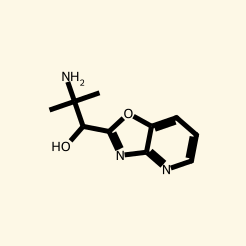 CC(C)(N)C(O)c1nc2ncccc2o1